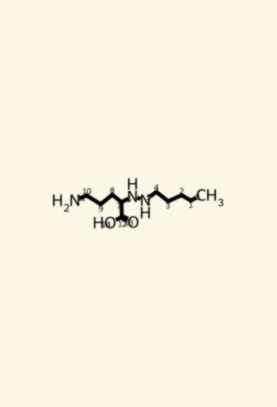 CCCCCNNC(CCCN)C(=O)O